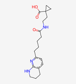 O=C(CCCCc1ccc2c(n1)NCCC2)NCCC1(C(=O)O)CC1